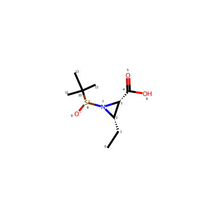 CC[C@H]1[C@@H](C(=O)O)N1[S+]([O-])C(C)(C)C